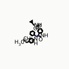 CN(C)Cc1ccc(N/C(=C2\C(=O)Nc3ccc(S(=O)(=O)NCC4CC4)cc32)c2ccccc2)cc1